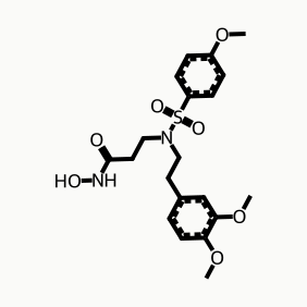 COc1ccc(S(=O)(=O)N(CCC(=O)NO)CCc2ccc(OC)c(OC)c2)cc1